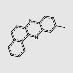 Cc1ccc2nc3ccc4ccccc4c3nc2c1